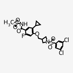 CS(=O)(=O)NC(=O)c1cc(C2CC2)c(OCC2CN(S(=O)(=O)c3cc(Cl)cc(Cl)c3)C2)cc1F